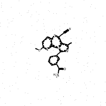 COc1ccc2nc(C#N)c3c(C)nc(-c4cccc(C(N)=O)c4)n3c2n1